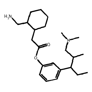 CCC(c1cccc(OC(=O)CC2CCCCC2CN)c1)C(C)CN(C)C